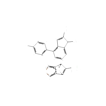 CC1=C2c3cscc3C1[Si]2(C)C.CCCCc1ccc(-c2cccc3c2C=C(C)[CH]3[Zr+2])cc1.[Cl-].[Cl-]